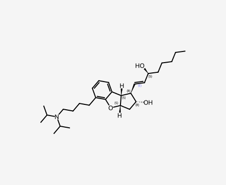 CCCCC[C@H](O)/C=C/[C@@H]1[C@H]2c3cccc(CCCCN(C(C)C)C(C)C)c3O[C@H]2C[C@H]1O